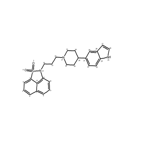 O=S1(=O)c2cccc3cccc(c23)N1CCCN1CCC(c2ccc3[nH]ccc3c2)CC1